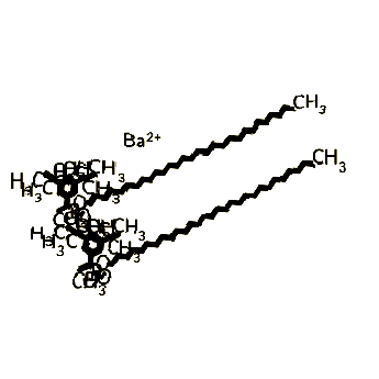 CCCCCCCCCCCCCCCCCCCCCCCCCCCCCCOP(=O)([O-])C(CC)c1cc(C(C)(C)CC)c(O)c(C(C)(C)CC)c1.CCCCCCCCCCCCCCCCCCCCCCCCCCCCCCOP(=O)([O-])C(CC)c1cc(C(C)(C)CC)c(O)c(C(C)(C)CC)c1.[Ba+2]